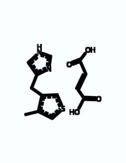 Cc1cscc1Cc1c[nH]cn1.O=C(O)/C=C/C(=O)O